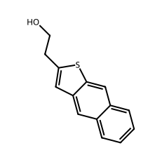 OCCc1cc2cc3ccccc3cc2s1